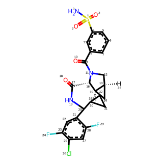 NS(=O)(=O)c1cccc(C(=O)N2C[C@H]3C[C@H]3[C@@H]2C(=O)NC(c2cc(F)c(Cl)cc2F)C2CC2)c1